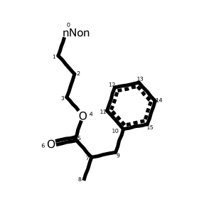 CCCCCCCCCCCCOC(=O)C(C)Cc1ccccc1